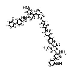 CCC1CN(c2cc(-c3ccccc3O)nnc2N)CC(C)N1c1ncc(C2CCN([C@H]3CC4(C[C@H](c5cc([C@H](C(=O)N6C[C@H](O)C[C@H]6C(=O)NOc6ccc(-c7ccccc7F)cc6)C(C)C)on5)C4)C3)CC2)cn1